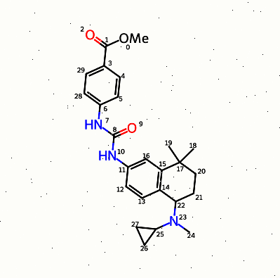 COC(=O)c1ccc(NC(=O)Nc2ccc3c(c2)C(C)(C)CCC3N(C)C2CC2)cc1